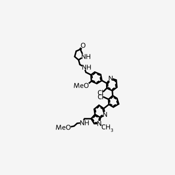 COCCNCc1cn(C)c2nc(-c3cccc(-c4ccnc(-c5ccc(CNCC6CCC(=O)N6)c(OC)c5)c4Cl)c3Cl)ccc12